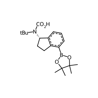 CC(C)(C)N(C(=O)O)[C@H]1CCc2c(B3OC(C)(C)C(C)(C)O3)cccc21